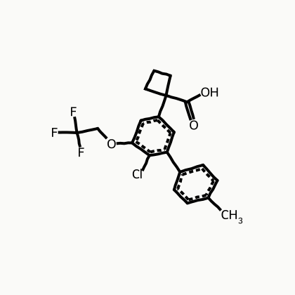 Cc1ccc(-c2cc(C3(C(=O)O)CCC3)cc(OCC(F)(F)F)c2Cl)cc1